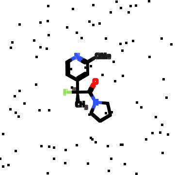 COc1cc([C@@](C)(F)C(=O)N2CCCC2)ccn1